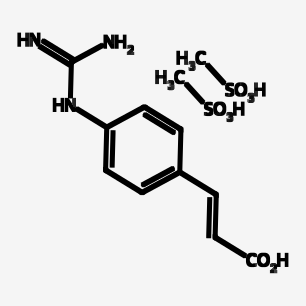 CS(=O)(=O)O.CS(=O)(=O)O.N=C(N)Nc1ccc(C=CC(=O)O)cc1